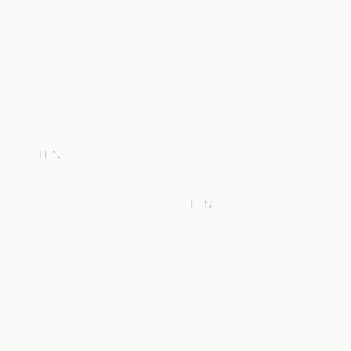 NCc1ccc(C[C@@H](N)c2ccccc2)cc1